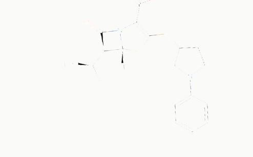 C[C@H](F)[C@H]1C(=O)N2C(C(=O)O)=C(SC3CCN(c4ccccc4)C3)S[C@H]12